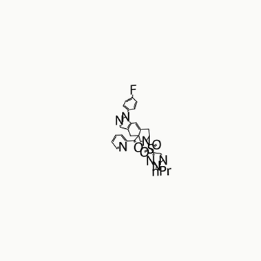 CCCn1ncc(S(=O)(=O)N2CCC3=Cc4c(cnn4-c4ccc(F)cc4)CC3(C(=O)c3ccccn3)C2)n1